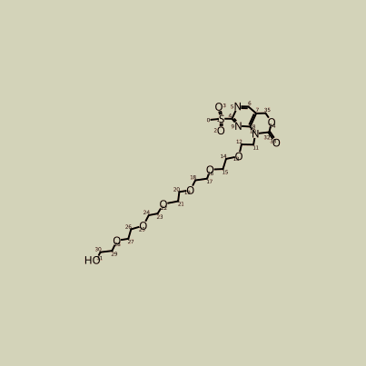 CS(=O)(=O)c1ncc2c(n1)N(CCOCCOCCOCCOCCOCCOCCO)C(=O)OC2